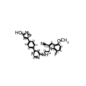 COc1ccc(F)c2c1cc(C#N)n2CCNc1cc(-c2ccc(-c3cc(O)no3)cc2)ncn1